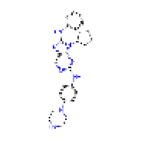 c1ccc(Nc2nc3cnc(Nc4ccc(N5CCNCC5)cc4)nc3n2C2CCCC2)cc1